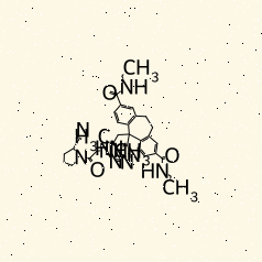 CCNC(=O)c1ccc2c(c1)CCc1cc(C(=O)NCC)ccc1C2(CC(C)(C)NCC(=O)N1CCCC1C#N)c1nnn[nH]1